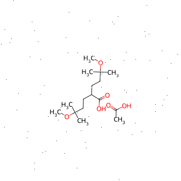 CC(=O)O.COC(C)(C)CCC(CCC(C)(C)OC)C(=O)O